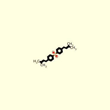 CC(C)=CCc1ccc(S(=O)(=O)c2ccc(CC=C(C)C)cc2)cc1